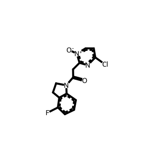 O=C(Cc1nc(Cl)cc[n+]1[O-])N1CCc2c(F)cccc21